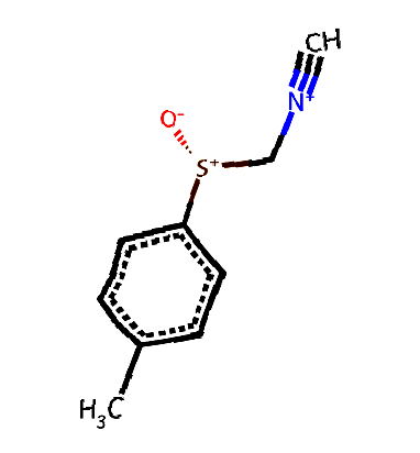 C#[N+]C[S@@+]([O-])c1ccc(C)cc1